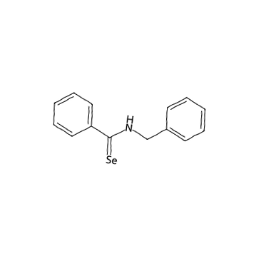 [Se]=C(NCc1ccccc1)c1ccccc1